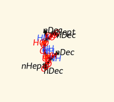 CCCCCCCCCCCCCC(=O)N[C@H](COC(=O)C[C@@H](CCCCCCC)OC(=O)CCCCCCCCCCC)COP(=O)(O)OCCNC(=O)NCCOP(=O)(O)OC[C@@H](COC(=O)C[C@@H](CCCCCCC)OC(=O)CCCCCCCCCCC)NC(=O)CCCCCCCCCCCCC